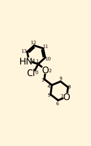 ClC1(OCC2CCOCC2)C=CC=CN1